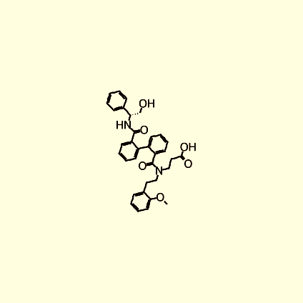 COc1ccccc1CCN(CCC(=O)O)C(=O)c1ccccc1-c1ccccc1C(=O)N[C@@H](CO)c1ccccc1